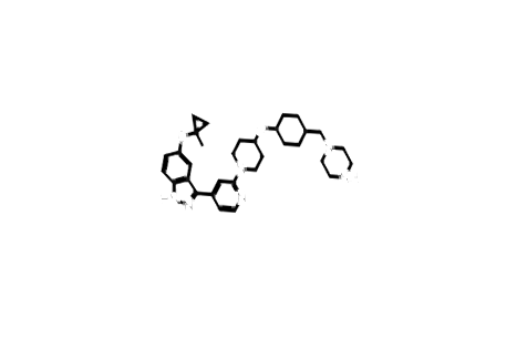 CC1(Oc2ccc3[nH]nc(-c4ccnc(N5CCC(OC6CCC(CN7CCNCC7)CC6)CC5)c4)c3c2)CC1